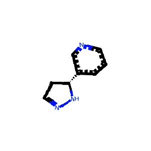 C1=NN[C@@H](c2cccnc2)C1